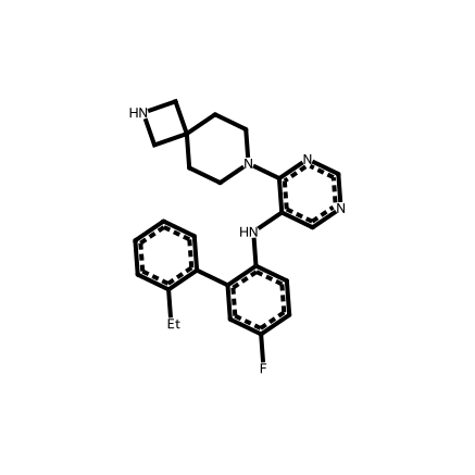 CCc1ccccc1-c1cc(F)ccc1Nc1cncnc1N1CCC2(CC1)CNC2